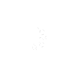 CC(C)n1cnnc1-c1cccc(-n2ncc3ccc(N4CCCC(O)C4)cc3c2=O)n1